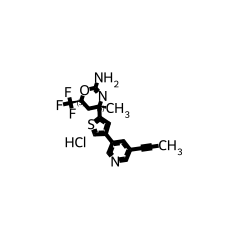 CC#Cc1cncc(-c2csc([C@]3(C)C[C@@H](C(F)(F)F)OC(N)=N3)c2)c1.Cl